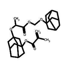 C=C(C)C(=O)OC12CC3CC(C1)CC(OC(C)C(=O)OCOC14CC5CC(CC(C5)C1)C4)(C3)C2